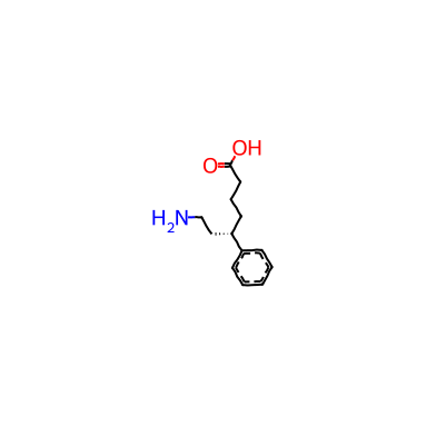 NCC[C@H](CCCC(=O)O)c1ccccc1